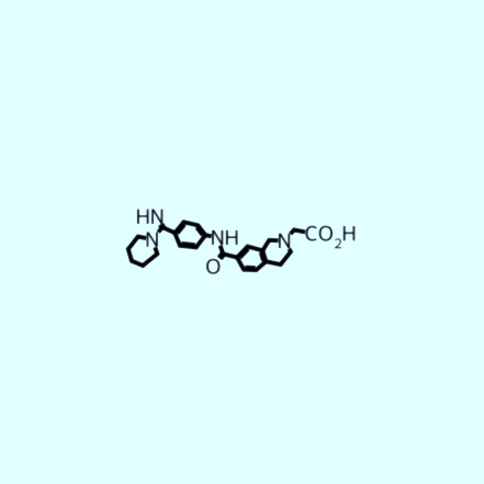 N=C(c1ccc(NC(=O)c2ccc3c(c2)CN(CC(=O)O)CC3)cc1)N1CCCCC1